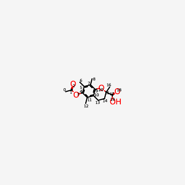 CC(=O)Oc1c(C)c(C)c2c(c1C)CCC(C)(C(=O)O)O2